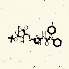 COC(=O)[C@@H](CSc1cnc(NC(=O)N(C2CCCCC2)[C@H]2CC[C@H](C)CC2)s1)NC(=O)OC(C)(C)C